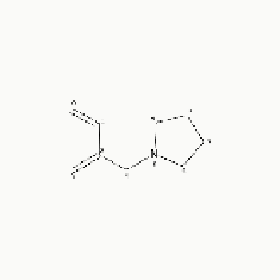 C=CC(=C)CN1CCCC1